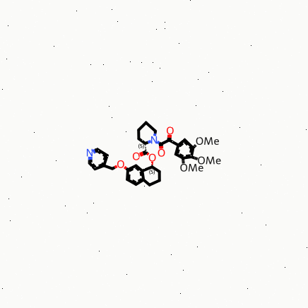 COc1cc(C(=O)C(=O)N2CCCC[C@H]2C(=O)O[C@H]2CCCc3ccc(OCc4ccncc4)cc32)cc(OC)c1OC